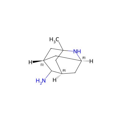 CC12C[C@H]3C[C@@H](C[C@@H](C1)C3N)N2